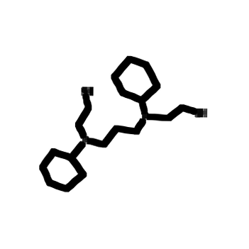 SCCP(CCCP(CCS)C1CCCCC1)C1CCCCC1